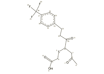 CC(=O)CC(SCC(=O)O)C(=O)CCc1ccc(C(F)(F)F)cc1